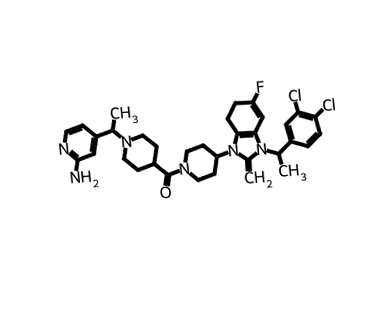 C=C1N(C2CCN(C(=O)C3CCN(C(C)c4ccnc(N)c4)CC3)CC2)C2=C(C=C(F)CC2)N1C(C)c1ccc(Cl)c(Cl)c1